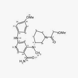 COCC(=O)N1CCC[C@@H](N(C)c2cc(Nc3ccc(OC)cc3)ncc2C(N)=O)C1